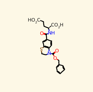 O=C(O)CC[C@H](NC(=O)c1ccc2c(c1)SCCN2C(=O)OCc1ccccc1)C(=O)O